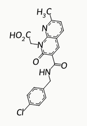 Cc1ccc2cc(C(=O)NCc3ccc(Cl)cc3)c(=O)n(CC(=O)O)c2n1